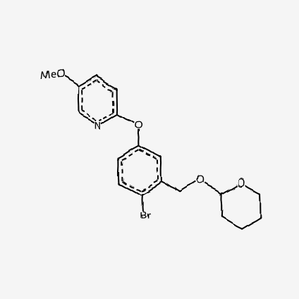 COc1ccc(Oc2ccc(Br)c(COC3CCCCO3)c2)nc1